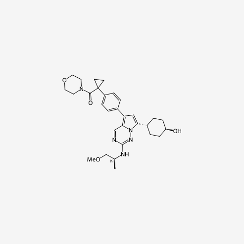 COC[C@H](C)Nc1ncc2c(-c3ccc(C4(C(=O)N5CCOCC5)CC4)cc3)cc([C@H]3CC[C@H](O)CC3)n2n1